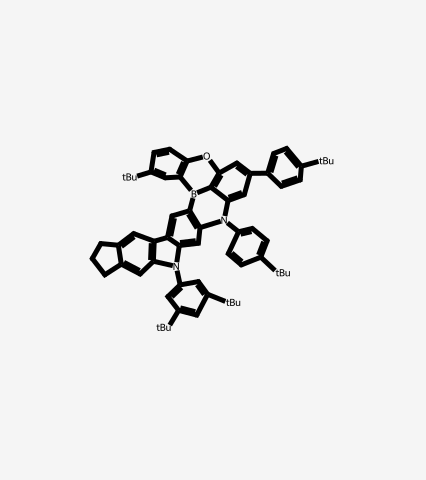 CC(C)(C)c1ccc(-c2cc3c4c(c2)N(c2ccc(C(C)(C)C)cc2)c2cc5c(cc2B4c2cc(C(C)(C)C)ccc2O3)c2cc3c(cc2n5-c2cc(C(C)(C)C)cc(C(C)(C)C)c2)CCC3)cc1